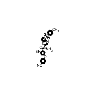 CC[C@@H]1C[C@@H](Oc2ccc(C#N)cc2)C[C@@H]1C(=O)N(N)c1cnc2c(ccn2S(=O)(=O)c2ccc(C)cc2)n1